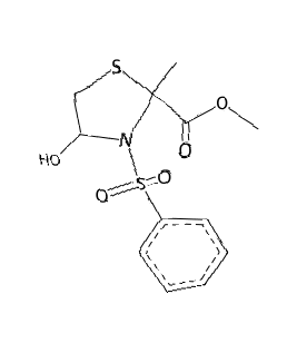 COC(=O)C1(C)SCC(O)N1S(=O)(=O)c1ccccc1